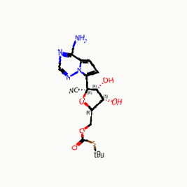 CC(C)(C)SC(=O)OC[C@H]1O[C@@](C#N)(c2ccc3c(N)ncnn23)[C@H](O)[C@@H]1O